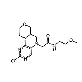 COCCNC(=O)CN1CC2COCCN2c2nc(Cl)ncc21